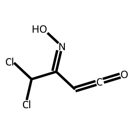 O=C=CC(=NO)C(Cl)Cl